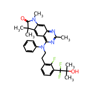 Cc1nc(N(CCc2cccc(C(F)(F)C(C)(C)O)c2F)c2ccccc2)c2cc3c(cc2n1)N(C)C(=O)C3(C)C